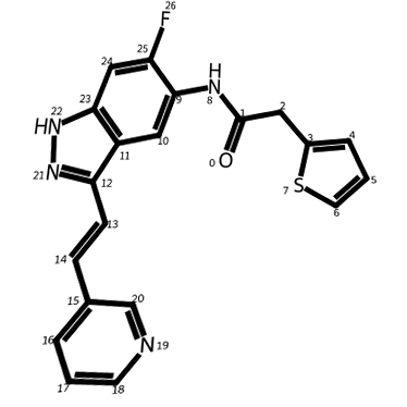 O=C(Cc1cccs1)Nc1cc2c(C=Cc3cccnc3)n[nH]c2cc1F